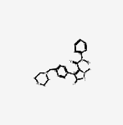 CCC1ON(C)C(C(=O)N(CC)c2ccccc2)=C1c1ccc(CN2CCOCC2)cc1